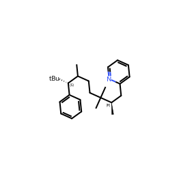 CC(CCC(C)(C)[C@H](C)Cc1ccccn1)[C@H](c1ccccc1)C(C)(C)C